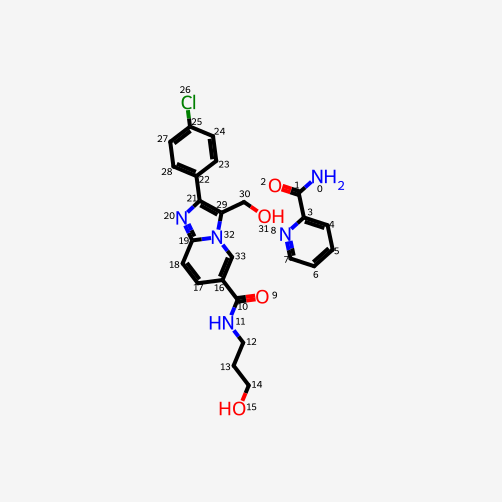 NC(=O)c1ccccn1.O=C(NCCCO)c1ccc2nc(-c3ccc(Cl)cc3)c(CO)n2c1